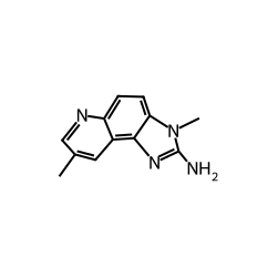 Cc1cnc2ccc3c(nc(N)n3C)c2c1